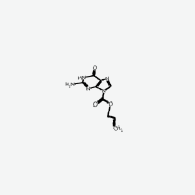 C=CCOC(=O)n1cnc2c(=O)[nH]c(N)nc21